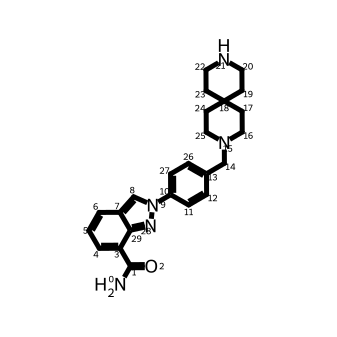 NC(=O)c1cccc2cn(-c3ccc(CN4CCC5(CCNCC5)CC4)cc3)nc12